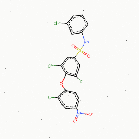 O=[N+]([O-])c1ccc(Oc2c(Cl)cc(S(=O)(=O)Nc3cccc(Cl)c3)cc2Cl)c(Cl)c1